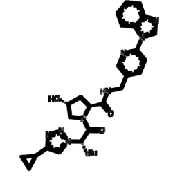 CC(C)(C)[C@@H](C(=O)N1C[C@H](O)C[C@H]1C(=O)NCc1ccc(-n2cnc3ccccc32)nc1)n1cc(C2CC2)nn1